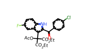 CCOC(=O)C(OC(C)=O)(C(=O)OCC)c1c(C(=O)c2ccc(Cl)cc2)[nH]c2ccc(F)cc12